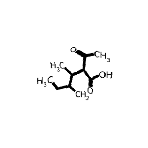 CCC(C)C(C)C(C(C)=O)C(=O)O